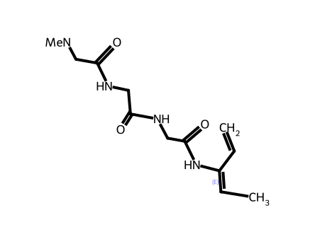 C=C/C(=C\C)NC(=O)CNC(=O)CNC(=O)CNC